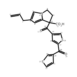 C=CCc1cc2n(c1)CCC2(C(=O)O)C(=S)c1csc(C(=O)c2ccsc2)c1